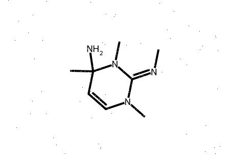 C/N=C1/N(C)C=CC(C)(N)N1C